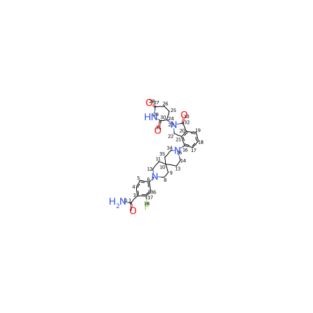 NC(=O)c1ccc(N2CCC3(CC2)CCN(c2cccc4c2CN(C2CCC(=O)NC2=O)C4=O)CC3)cc1F